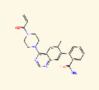 C=CC(=O)N1CCN(c2ncnc3cc(-c4ccccc4C(N)=O)c(C)cc23)CC1